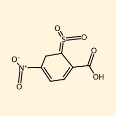 O=C(O)C1=CC=C([N+](=O)[O-])CC1=S(=O)=O